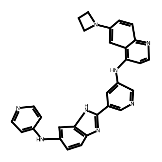 c1cc(Nc2ccc3nc(-c4cncc(Nc5ccnc6ccc(N7CCC7)cc56)c4)[nH]c3c2)ccn1